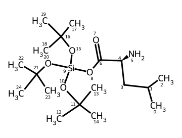 CC(C)C[C@H](N)C(=O)O[Si](OC(C)(C)C)(OC(C)(C)C)OC(C)(C)C